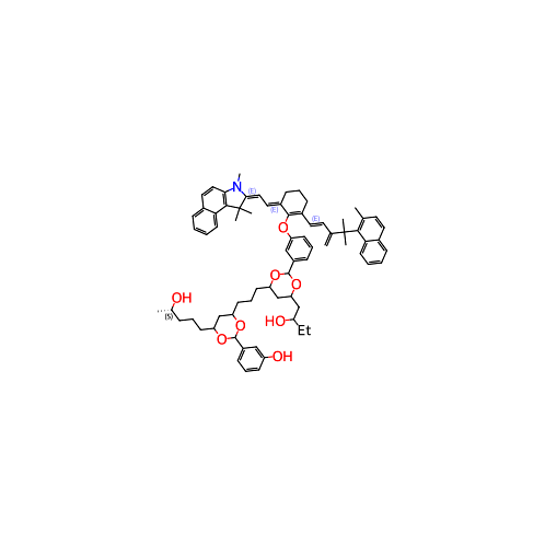 C=C(/C=C/C1=C(Oc2cccc(C3OC(CCCC4CC(CCC[C@H](C)O)OC(c5cccc(O)c5)O4)CC(CC(O)CC)O3)c2)C(=C/C=C2/N(C)c3ccc4ccccc4c3C2(C)C)/CCC1)C(C)(C)c1c(C)ccc2ccccc12